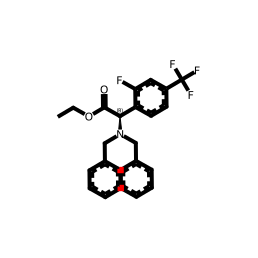 CCOC(=O)[C@@H](c1ccc(C(F)(F)F)cc1F)N(Cc1ccccc1)Cc1ccccc1